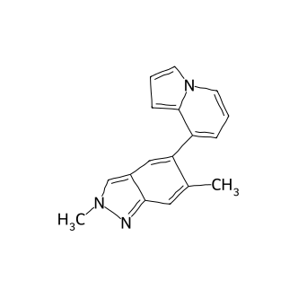 Cc1cc2nn(C)cc2cc1-c1cccn2cccc12